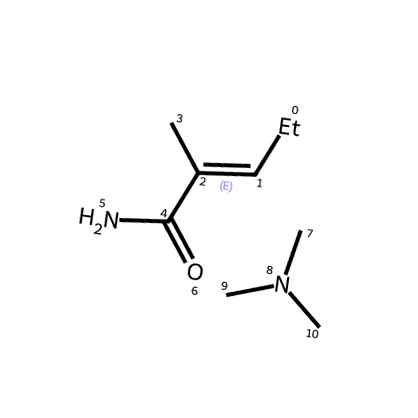 CC/C=C(\C)C(N)=O.CN(C)C